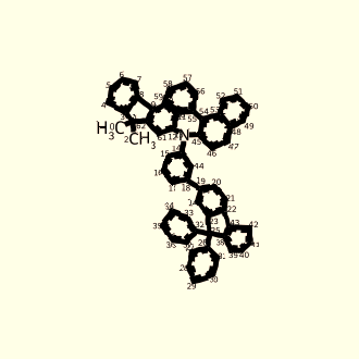 CC1(C)c2ccccc2-c2ccc(N(c3cccc(-c4ccc5c(c4)C(c4ccccc4)(c4ccccc4)c4ccccc4-5)c3)c3ccc4ccccc4c3-c3ccccc3)cc21